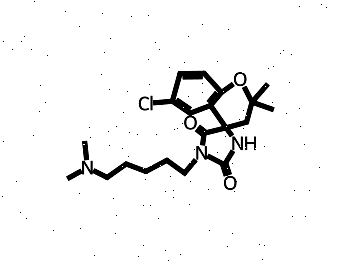 CN(C)CCCCCN1C(=O)NC2(CC(C)(C)Oc3ccc(Cl)cc32)C1=O